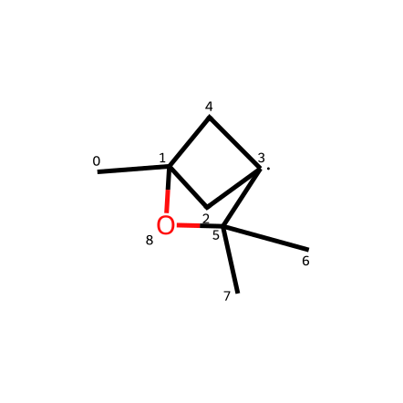 CC12C[C](C1)C(C)(C)O2